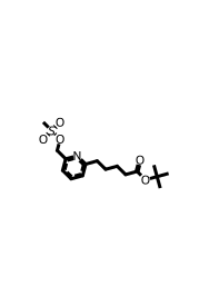 CC(C)(C)OC(=O)CCCCc1cccc(COS(C)(=O)=O)n1